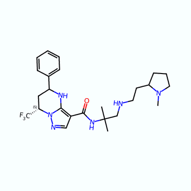 CN1CCCC1CCNCC(C)(C)NC(=O)c1cnn2c1NC(c1ccccc1)C[C@H]2C(F)(F)F